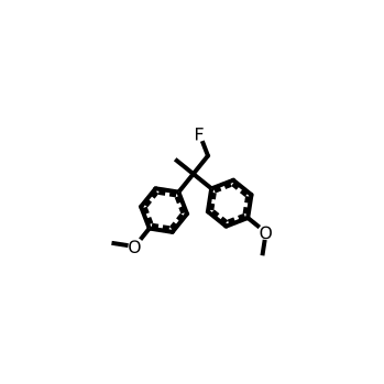 COc1ccc(C(C)(CF)c2ccc(OC)cc2)cc1